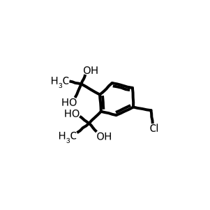 CC(O)(O)c1ccc(CCl)cc1C(C)(O)O